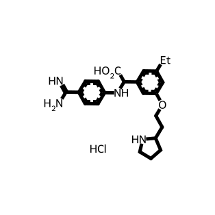 CCc1cc(OCCC2CCCN2)cc(C(Nc2ccc(C(=N)N)cc2)C(=O)O)c1.Cl